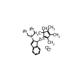 CC1=C(C)C(C)(C)[C]([Zr+2][CH]2C(P(CC(C)C)CC(C)C)=Cc3ccccc32)=C1C.[Cl-].[Cl-]